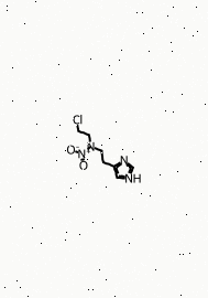 O=[N+]([O-])N(CCCl)CCc1c[nH]cn1